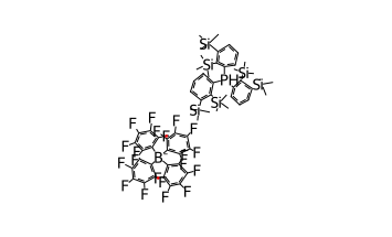 C[Si](C)(C)c1cccc([PH+](c2cccc([Si](C)(C)C)c2[Si](C)(C)C)c2cccc([Si](C)(C)C)c2[Si](C)(C)C)c1[Si](C)(C)C.Fc1c(F)c(F)c([B-](c2c(F)c(F)c(F)c(F)c2F)(c2c(F)c(F)c(F)c(F)c2F)c2c(F)c(F)c(F)c(F)c2F)c(F)c1F